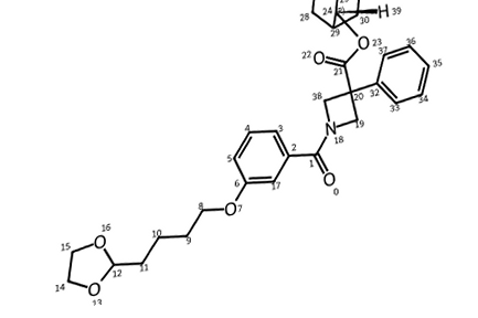 O=C(c1cccc(OCCCCC2OCCO2)c1)N1CC(C(=O)O[C@H]2CN3CCC2CC3)(c2ccccc2)C1